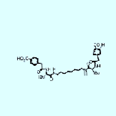 CCC(C)[C@H](NC(=O)Cc1ccc(C(=O)O)cc1)C(=O)NCCCCCCCCNC(=O)[C@@H](NC(=O)Cc1ccc(C(=O)O)cc1)C(C)CC